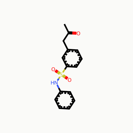 CC(=O)Cc1cccc(S(=O)(=O)Nc2ccccc2)c1